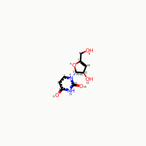 O=c1ccn([C@@H]2OC(CO)=C[C@H]2O)c(=O)[nH]1